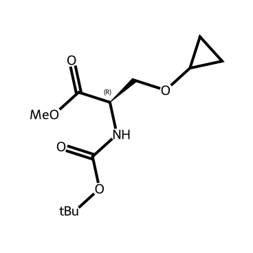 COC(=O)[C@@H](COC1CC1)NC(=O)OC(C)(C)C